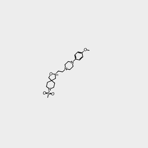 COc1ccc(N2CCN(CC[C@H]3CC4(CCN(S(C)(=O)=O)CC4)CO3)CC2)cc1